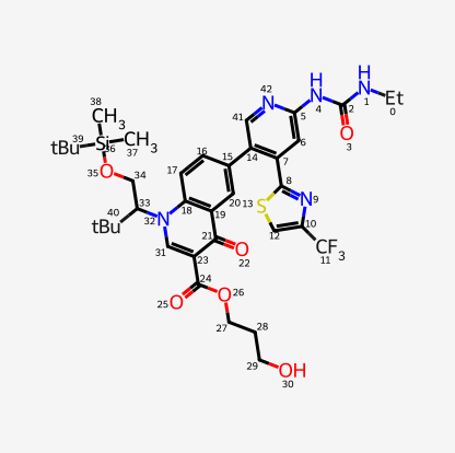 CCNC(=O)Nc1cc(-c2nc(C(F)(F)F)cs2)c(-c2ccc3c(c2)c(=O)c(C(=O)OCCCO)cn3C(CO[Si](C)(C)C(C)(C)C)C(C)(C)C)cn1